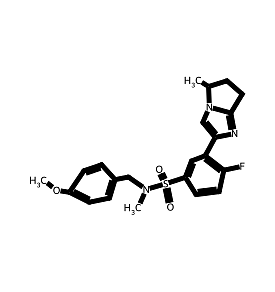 COc1ccc(CN(C)S(=O)(=O)c2ccc(F)c(-c3cn4c(n3)CCC4C)c2)cc1